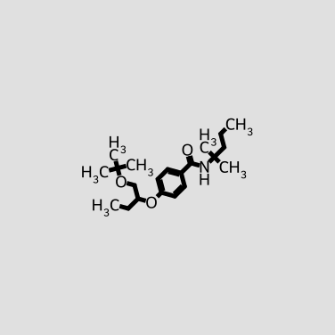 CCCC(C)(C)NC(=O)c1ccc(OC(CC)COC(C)(C)C)cc1